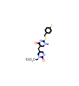 CCOC(=O)Cn1cc(Cc2cn(C)c(SCc3ccc(F)cc3)nc2=O)cnc1=O